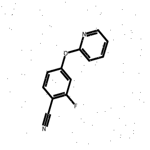 N#Cc1ccc(Oc2ccccn2)cc1F